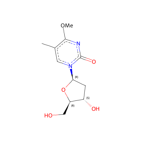 COc1nc(=O)n([C@H]2C[C@H](O)[C@@H](CO)O2)cc1C